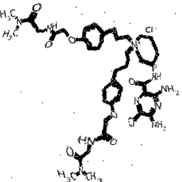 CN(C)C(=O)CNC(=O)COc1ccc(CCC[N+]2(CCCc3ccc(OCC(=O)NCC(=O)N(C)C)cc3)CCC[C@H](NC(=O)c3nc(Cl)c(N)nc3N)C2)cc1.[Cl-]